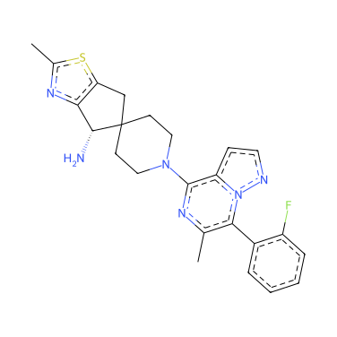 Cc1nc2c(s1)CC1(CCN(c3nc(C)c(-c4ccccc4F)n4nccc34)CC1)[C@@H]2N